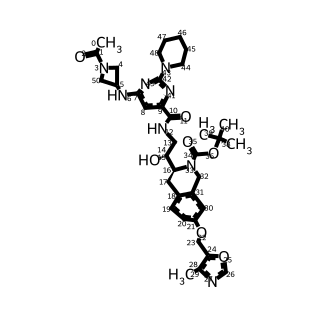 CC(=O)N1CC(Nc2cc(C(=O)NC[C@@H](O)[C@@H]3Cc4ccc(OCc5ocnc5C)cc4CN3C(=O)OC(C)(C)C)nc(N3CCCCC3)n2)C1